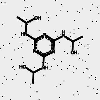 CC(O)Nc1nc(NC(C)O)nc(NC(C)O)n1